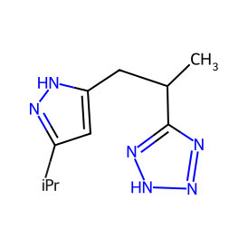 CC(C)c1cc(CC(C)c2nn[nH]n2)[nH]n1